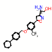 C[C@](N)(CO)c1cc(-c2ccc(OCc3ccc(-c4ccccc4)cc3)c(C(F)(F)F)c2)on1